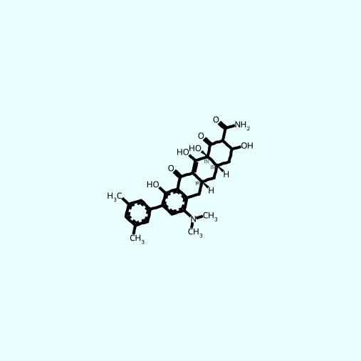 Cc1cc(C)cc(-c2cc(N(C)C)c3c(c2O)C(=O)C2=C(O)[C@]4(O)C(=O)C(C(N)=O)C(O)C[C@@H]4C[C@@H]2C3)c1